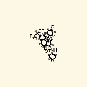 O=C(Nc1ccncc1)[C@@H]1CC[C@]2(S(=O)(=O)c3ccc(F)cc3)c3ccc(C(F)(C(F)(F)F)C(F)(F)F)cc3CC[C@H]12